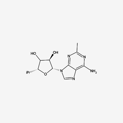 Cc1nc(N)c2ncn([C@@H]3O[C@H](C(C)C)C(O)[C@H]3O)c2n1